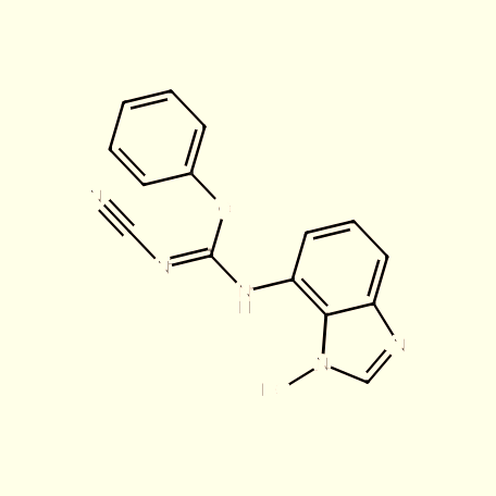 Cn1cnc2cccc(N/C(=N/C#N)Oc3ccccc3)c21